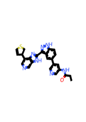 CCC(=O)Nc1cncc(-c2ccc3[nH]nc(-c4nc5c(C6C=CSC6)cncc5[nH]4)c3c2)c1